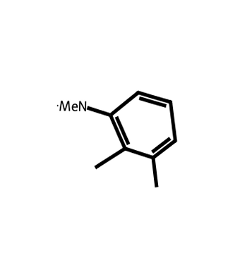 C[N]c1cccc(C)c1C